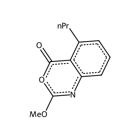 CCCc1cccc2nc(OC)oc(=O)c12